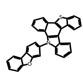 c1ccc2c(c1)oc1cc(-n3c4ccccc4c4c5c6ccccc6sc5c5ccccc5c43)ccc12